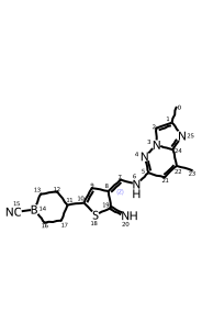 Cc1cn2nc(N/C=C3/C=C(C4CCB(C#N)CC4)SC3=N)cc(C)c2n1